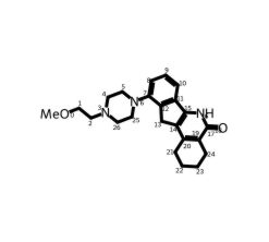 COCCN1CCN(c2cccc3c2Cc2c-3[nH]c(=O)c3c2CCCC3)CC1